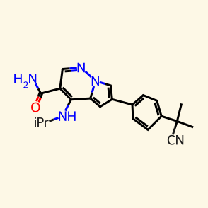 CC(C)Nc1c(C(N)=O)cnn2cc(-c3ccc(C(C)(C)C#N)cc3)cc12